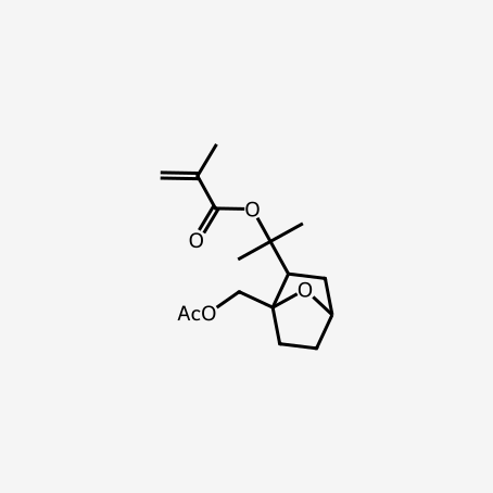 C=C(C)C(=O)OC(C)(C)C1CC2CCC1(COC(C)=O)O2